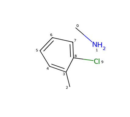 CN.Cc1ccccc1Cl